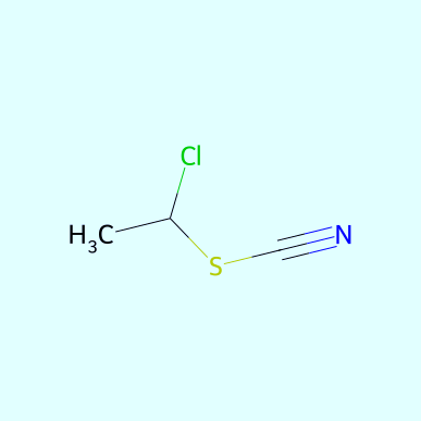 CC(Cl)SC#N